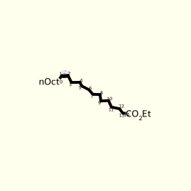 CCCCCCCC/C=C\CCCCCCCCCCCC(=O)OCC